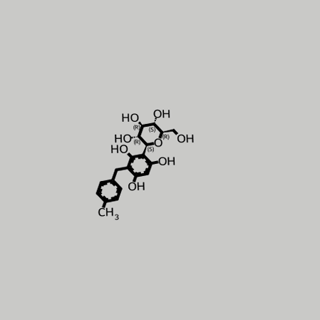 Cc1ccc(Cc2c(O)cc(O)c([C@@H]3O[C@H](CO)[C@@H](O)[C@H](O)[C@H]3O)c2O)cc1